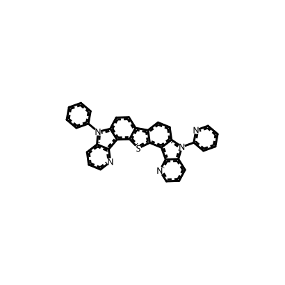 c1ccc(-n2c3cccnc3c3c4sc5c(ccc6c5c5ncccc5n6-c5ccccn5)c4ccc32)cc1